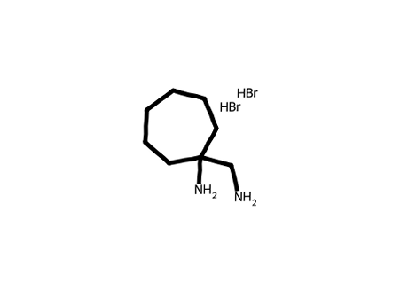 Br.Br.NCC1(N)CCCCCC1